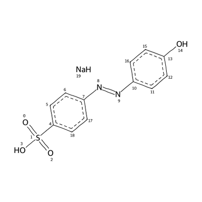 O=S(=O)(O)c1ccc(/N=N/c2ccc(O)cc2)cc1.[NaH]